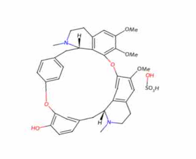 COc1cc2c3cc1Oc1c(OC)c(OC)cc4c1[C@H](Cc1ccc(cc1)Oc1cc(ccc1O)C[C@H]3N(C)CC2)N(C)CC4.O=S(=O)(O)O